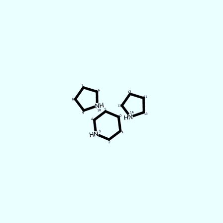 C1CCNCC1.[CH]1CCCN1.[CH]1CCNC1